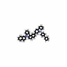 c1ccc(-c2ccc(-n3c4ccccc4c4ccc(-c5ccc6ccc7c(c6c5)c5ccccc5n7-c5ccc6ccccc6c5)cc43)cc2)cc1